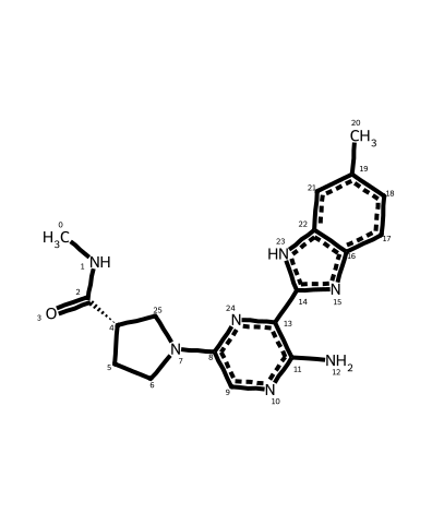 CNC(=O)[C@H]1CCN(c2cnc(N)c(-c3nc4ccc(C)cc4[nH]3)n2)C1